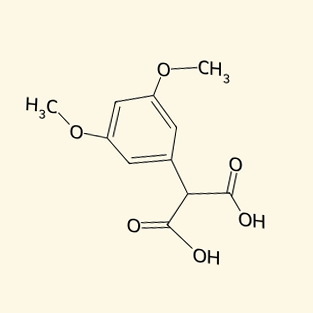 COc1cc(OC)cc(C(C(=O)O)C(=O)O)c1